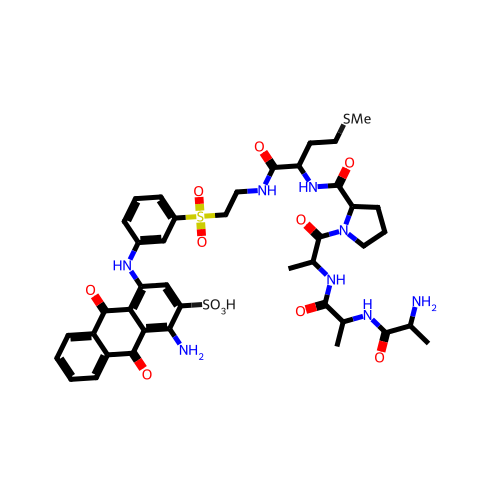 CSCCC(NC(=O)C1CCCN1C(=O)C(C)NC(=O)C(C)NC(=O)C(C)N)C(=O)NCCS(=O)(=O)c1cccc(Nc2cc(S(=O)(=O)O)c(N)c3c2C(=O)c2ccccc2C3=O)c1